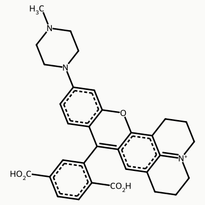 CN1CCN(c2ccc3c(c2)Oc2c4c5c(cc2=C3c2cc(C(=O)O)ccc2C(=O)O)CCC[N+]=5CCC4)CC1